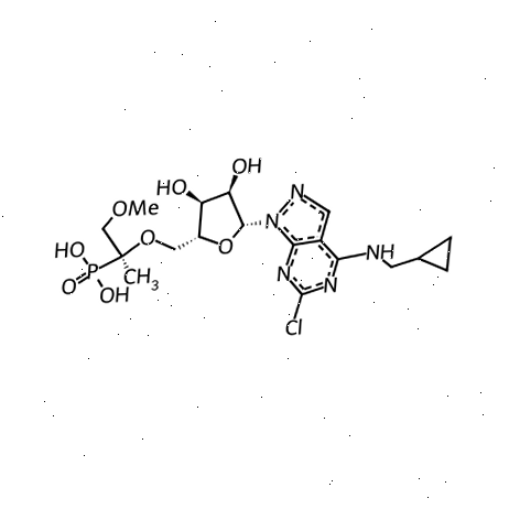 COC[C@@](C)(OC[C@H]1O[C@@H](n2ncc3c(NCC4CC4)nc(Cl)nc32)[C@H](O)[C@@H]1O)P(=O)(O)O